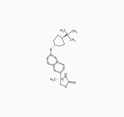 CC(C)(C)[C@H]1CC[C@H](Oc2ccc3cc([C@]4(C)COC(=O)N4)ccc3c2)CC1